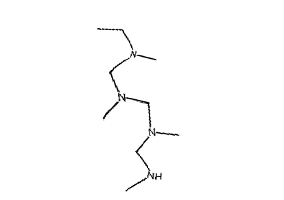 CCN(C)CN(C)CN(C)CNC